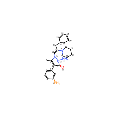 Cc1c(-c2cccc(P)c2)c(=O)n(N)n1/C=C(/Cc1ccccc1)N1CCCCC1